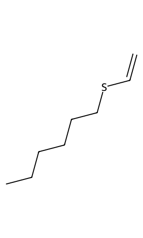 C=CSCCCCCC